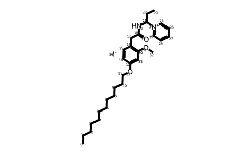 CCCCCCCCCCCCOc1ccc(CC(=O)NC(CC)[n+]2ccccc2)c(OC)c1.[I-]